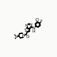 CN(C)C1CCN(C(=O)c2cc3c(Nc4ccc(F)c(Cl)c4)ncnc3s2)CC1